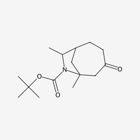 CC1C2CCC(=O)CC(C)(C2)N1C(=O)OC(C)(C)C